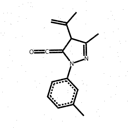 C=C(C)C1C(=C=O)N(c2cccc(C)c2)N=C1C